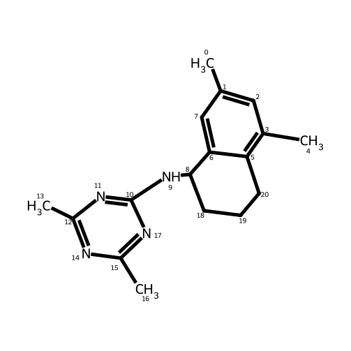 Cc1cc(C)c2c(c1)C(Nc1nc(C)nc(C)n1)CCC2